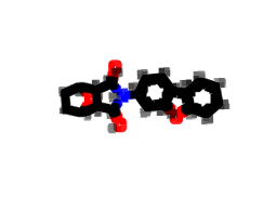 O=C1C2C3CCC(O3)C2C(=O)N1c1ccc2c(c1)oc1ccccc12